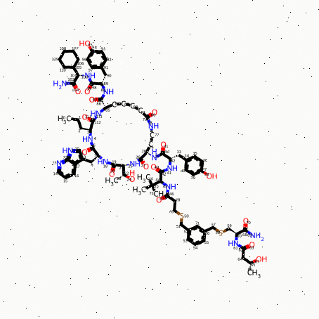 CCC[C@@H]1NC(=O)[C@H](Cc2c[nH]c3ncccc23)NC(=O)[C@@H]([C@@H](C)O)NC(=O)[C@@H](NC(=O)[C@H](Cc2ccc(O)cc2)NC(=O)C(NC(=O)CCSCc2cccc(CSC[C@H](NC(=O)C[C@@H](C)O)C(N)=O)c2)C(C)(C)C)CCNC(=O)CCCC[C@@H](C(=O)N[C@@H](Cc2ccc(O)cc2)C(=O)N[C@H](C(N)=O)C2CCCCC2)NC1=O